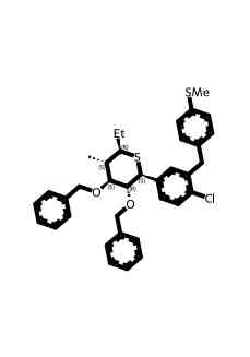 CC[C@H]1S[C@@H](c2ccc(Cl)c(Cc3ccc(SC)cc3)c2)[C@H](OCc2ccccc2)[C@@H](OCc2ccccc2)[C@@H]1C